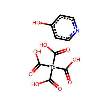 O=[C](O)[Tb]([C](=O)O)([C](=O)O)[C](=O)O.Oc1ccncc1